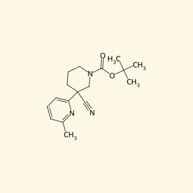 Cc1cccc(C2(C#N)CCCN(C(=O)OC(C)(C)C)C2)n1